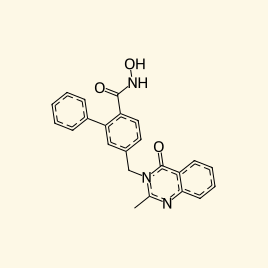 Cc1nc2ccccc2c(=O)n1Cc1ccc(C(=O)NO)c(-c2ccccc2)c1